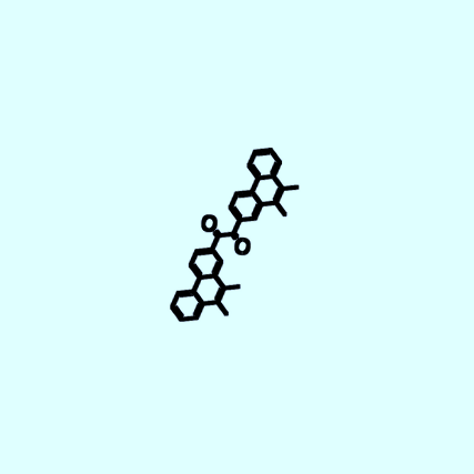 Cc1c(C)c2cc(C(=O)C(=O)c3ccc4c(c3)c(C)c(C)c3ccccc34)ccc2c2ccccc12